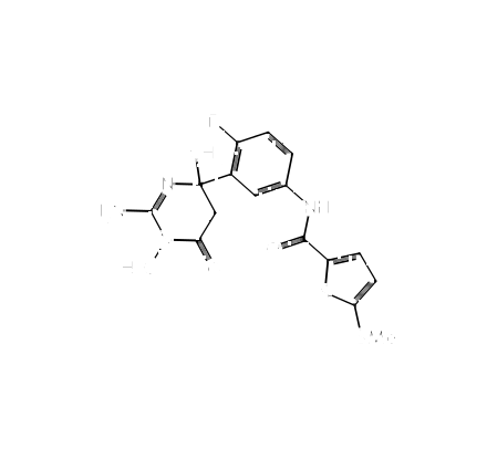 CSc1ccc(C(=O)Nc2ccc(F)c(C3(C)CC(=O)N(C)C(N)=N3)c2)s1